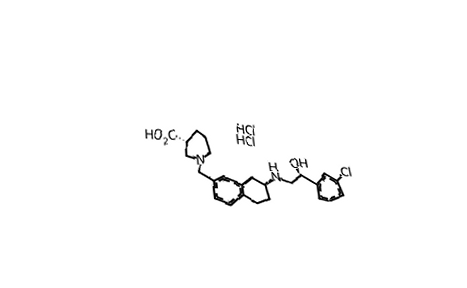 Cl.Cl.O=C(O)[C@@H]1CCCN(Cc2ccc3c(c2)C[C@@H](NC[C@@H](O)c2cccc(Cl)c2)CC3)C1